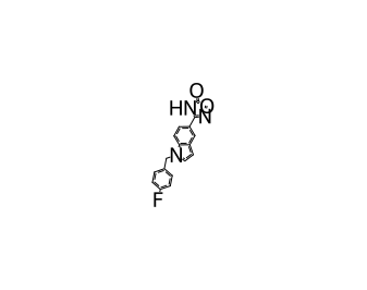 O=c1[nH]c(-c2ccc3c(ccn3Cc3ccc(F)cc3)c2)no1